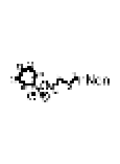 CCCCCCCCCCCCOOS(=O)(=O)c1ccccc1